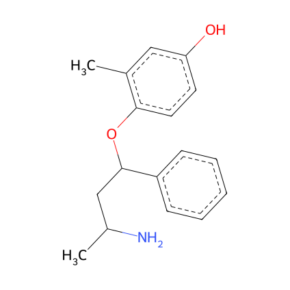 Cc1cc(O)ccc1OC(CC(C)N)c1ccccc1